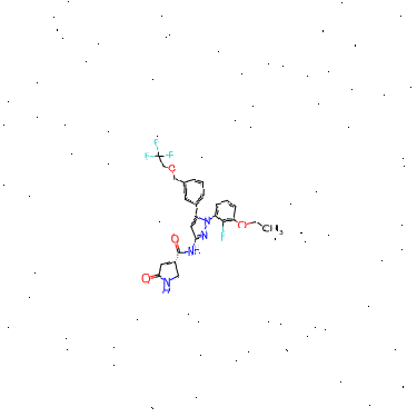 CCOc1cccc(-n2nc(NC(=O)[C@@H]3CNC(=O)C3)cc2-c2cccc(COCC(F)(F)F)c2)c1F